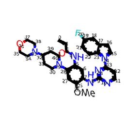 C=CC(=O)Nc1cc(Nc2nccc(-n3ccc4cc(F)ccc43)n2)c(OC)cc1N1CCC(N2CCOCC2)CC1